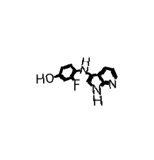 Oc1ccc(Nc2c[nH]c3ncccc23)c(F)c1